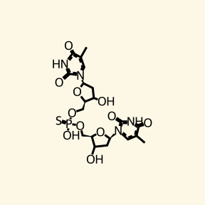 Cc1cn([C@H]2CC(O)[C@@H](COP(O)(=S)OC[C@H]3O[C@@H](n4cc(C)c(=O)[nH]c4=O)CC3O)O2)c(=O)[nH]c1=O